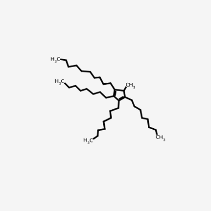 CCCCCCCCCCC1=C(CCCCCCCC)C(CCCCCCCC)=C(CCCCCCCC)C1C